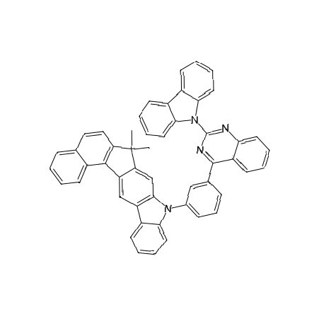 CC1(C)c2cc3c(cc2-c2c1ccc1ccccc21)c1ccccc1n3-c1cccc(-c2nc(-n3c4ccccc4c4ccccc43)nc3ccccc23)c1